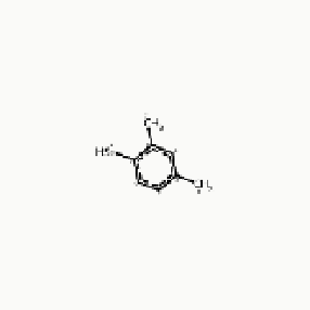 Cc1ccc([SeH])c(C)c1